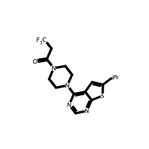 CC(C)c1cc2c(N3CCN(C(=O)CC(F)(F)F)CC3)ncnc2s1